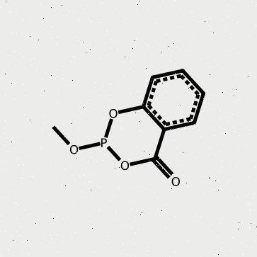 COP1OC(=O)c2ccccc2O1